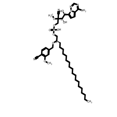 CCCCCCCCCCCCCCCCCCC[C@H](COP(=O)(O)OCC(C#N)(OC)[C@@H](O)[C@@H](O)c1ccc2c(N)ncnn12)OCc1ccc(C#N)c(OC)c1